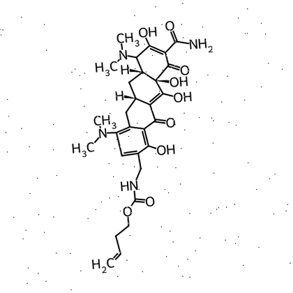 C=CCCOC(=O)NCc1cc(N(C)C)c2c(c1O)C(=O)C1=C(O)[C@@]3(O)C(=O)C(C(N)=O)=C(O)C(N(C)C)[C@H]3C[C@H]1C2